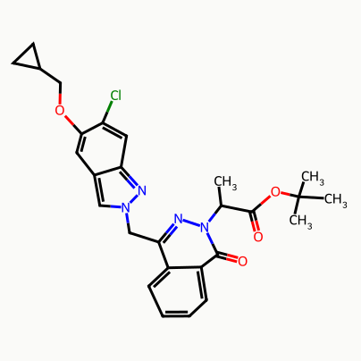 CC(C(=O)OC(C)(C)C)n1nc(Cn2cc3cc(OCC4CC4)c(Cl)cc3n2)c2ccccc2c1=O